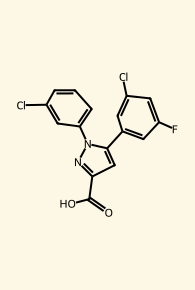 O=C(O)c1cc(-c2cc(F)cc(Cl)c2)n(-c2cccc(Cl)c2)n1